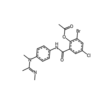 CN=C(C)N(C)c1ccc(NC(=O)c2cc(Cl)cc(Br)c2OC(C)=O)cc1